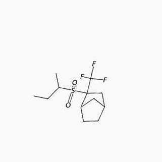 CCC(C)S(=O)(=O)C1(C(F)(F)F)CC2CCC1C2